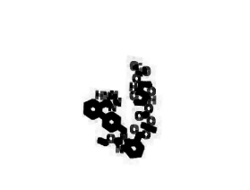 CCOc1nc2cccc(C(=O)OC(C)(C)OC(=O)OC3CO[C@H]4[C@@H]3OC[C@H]4O[N+](=O)[O-])c2n1Cc1ccc(-c2ccccc2-c2nnn[nH]2)cc1